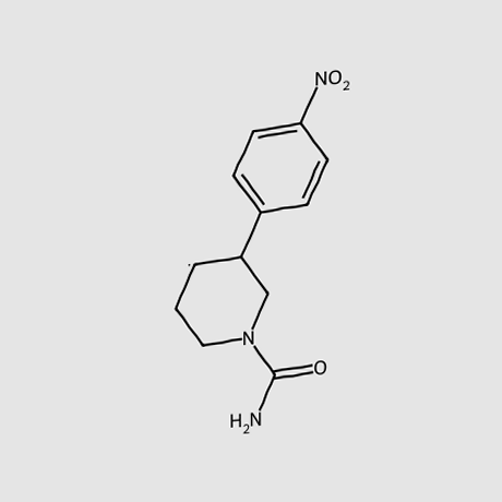 NC(=O)N1CC[CH]C(c2ccc([N+](=O)[O-])cc2)C1